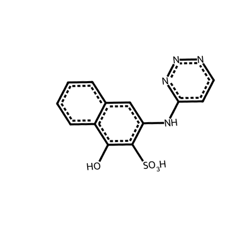 O=S(=O)(O)c1c(Nc2ccnnn2)cc2ccccc2c1O